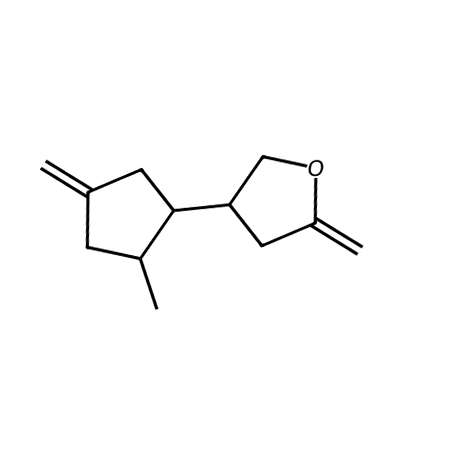 C=C1CC(C)C(C2COC(=C)C2)C1